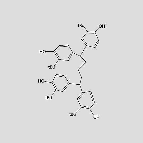 CC(C)(C)c1cc(C(CCCC(c2ccc(O)c(C(C)(C)C)c2)c2ccc(O)c(C(C)(C)C)c2)c2ccc(O)c(C(C)(C)C)c2)ccc1O